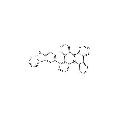 c1ccc2c(c1)B1c3ccccc3-c3c(-c4ccc5sc6ccccc6c5c4)cccc3N1c1ccccc1-2